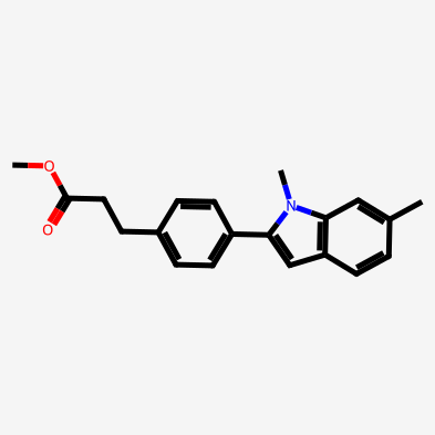 COC(=O)CCc1ccc(-c2cc3ccc(C)cc3n2C)cc1